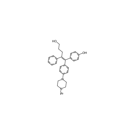 CC(C)N1CCN(c2ccc(/C(=C(/CCCO)c3ccccc3)c3ccc(O)cc3)cc2)CC1